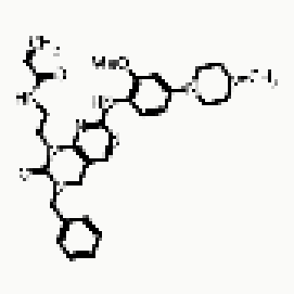 C=CC(=O)NCCN1C(=O)N(Cc2ccccc2)Cc2cnc(Nc3ccc(N4CCN(C)CC4)cc3OC)nc21